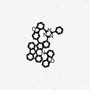 c1ccc(-c2nc(-c3ccccc3)nc(-c3cccc4oc5ccc(-c6ccc7c(c6)C6(c8ccccc8-c8ccccc86)c6ccccc6N7c6cccc7oc8ccccc8c67)cc5c34)n2)cc1